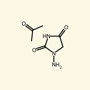 CC(C)=O.NN1CC(=O)NC1=O